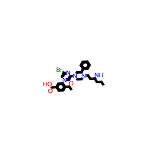 CCCC(=N)CCN1CCN(c2nc(Br)cn(-c3cc(C(=O)O)ccc3CC)c2=O)CC1c1ccccc1